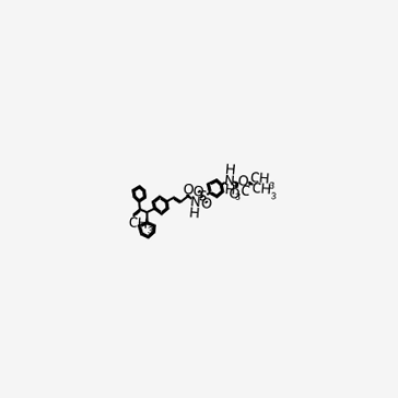 CC=C(c1ccccc1)C(c1ccccc1)c1ccc(C=CC(=O)NS(=O)(=O)c2ccc(NC(=O)OC(C)(C)C)cc2)cc1